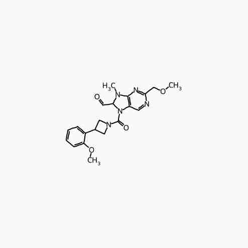 COCc1ncc2c(n1)N(C)C(C=O)N2C(=O)N1CC(c2ccccc2OC)C1